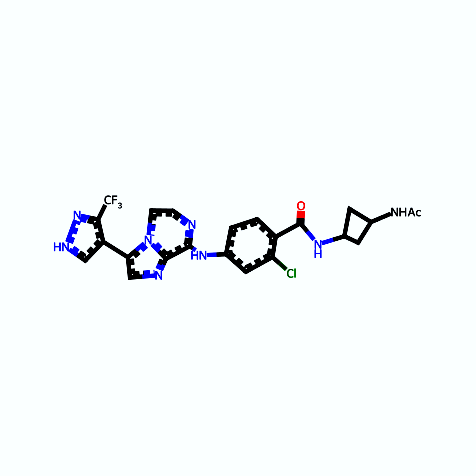 CC(=O)NC1CC(NC(=O)c2ccc(Nc3nccn4c(-c5c[nH]nc5C(F)(F)F)cnc34)cc2Cl)C1